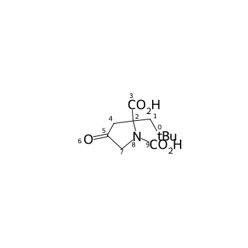 CC(C)(C)CC1(C(=O)O)CC(=O)CN1C(=O)O